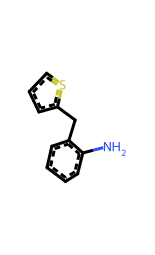 Nc1ccccc1Cc1cccs1